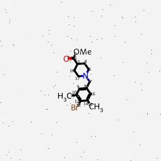 COC(=O)C1CCN(Cc2cc(C)c(Br)c(C)c2)CC1